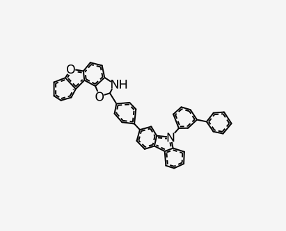 c1ccc(-c2cccc(-n3c4ccccc4c4ccc(-c5ccc(C6Nc7ccc8oc9ccccc9c8c7O6)cc5)cc43)c2)cc1